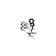 CC(=O)N(O)CCc1cc2ccccc2s1.CC[N+](CC)(CC)CC